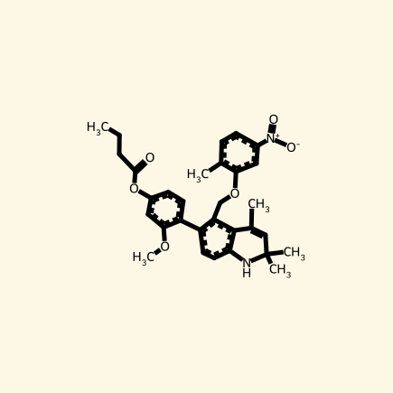 CCCC(=O)Oc1ccc(-c2ccc3c(c2COc2cc([N+](=O)[O-])ccc2C)C(C)=CC(C)(C)N3)c(OC)c1